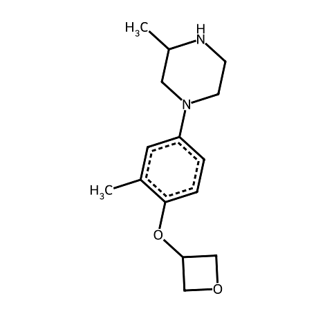 Cc1cc(N2CCNC(C)C2)ccc1OC1COC1